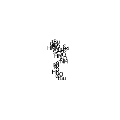 CC(C)(C)OC(=O)NCc1cn(C[C@@H]2NC(=O)C2NC(=O)/C(=N\OC2(C(=O)O)CC2)c2csc(NC(=O)OC(C)(C)C)n2)nn1